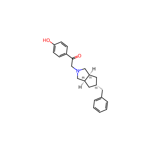 O=C(CN1C[C@H]2C[C@H](Cc3ccccc3)C[C@H]2C1)c1ccc(O)cc1